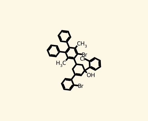 Cc1c(Br)c(C2CC(c3ccccc3Br)=CC(O)(c3ccccc3Cl)C2)c(C)c(-c2ccccc2)c1-c1ccccc1